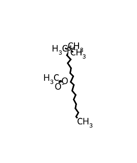 CC(=O)[O-].CCCCCCCCCCCCCCCC[P+](C)(C)C